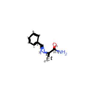 CCC(/N=C/c1ccccc1)C(N)=O